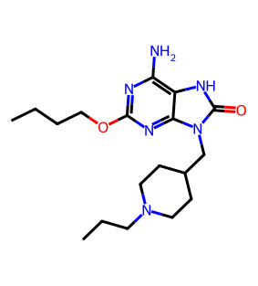 CCCCOc1nc(N)c2[nH]c(=O)n(CC3CCN(CCC)CC3)c2n1